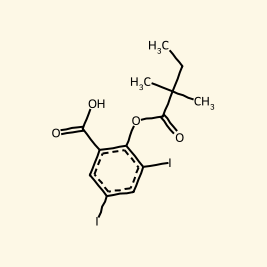 CCC(C)(C)C(=O)Oc1c(I)cc(I)cc1C(=O)O